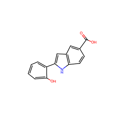 O=C(O)c1ccc2[nH]c(-c3ccccc3O)cc2c1